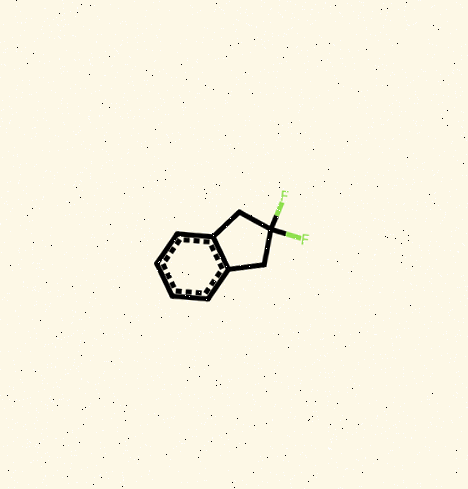 FC1(F)Cc2ccccc2C1